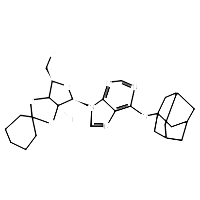 OC[C@H]1O[C@@H](n2cnc3c(NC45CC6CC(CC(C6)C4)C5)ncnc32)[C@H]2OC3(CCCCC3)OC12